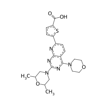 CC1CN(c2nc(N3CCOCC3)c3ccc(-c4ccc(C(=O)O)s4)nc3n2)CC(C)O1